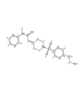 CN(C(=O)C=C1CCN(S(=O)(=O)c2ccc(OCF)cc2)CC1)c1ccccc1